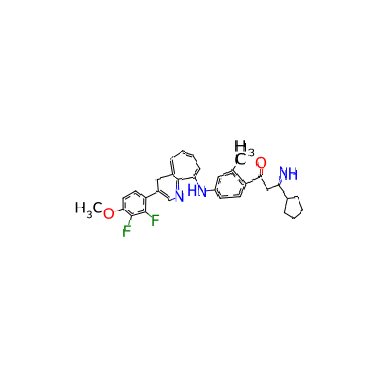 COc1ccc(C2=CN=C3C(=CC=CC=C3Nc3ccc(C(=O)CC(=N)C4CCCC4)c(C)c3)C2)c(F)c1F